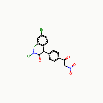 O=C(C[N+](=O)[O-])c1ccc(C(C(=O)NCl)c2ccc(Br)cc2F)cc1